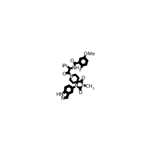 COc1ccc(F)c(C(=O)NC(C(=O)N2CCC3(CC2)C(=O)N(C)C(=O)N3c2ccc3[nH]ncc3c2)C(C)C)c1